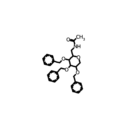 CC(=O)NCC1OCC(OCc2ccccc2)C(OCc2ccccc2)C1OCc1ccccc1